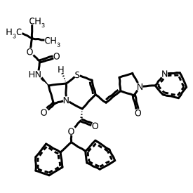 CC(C)(C)OC(=O)N[C@@H]1C(=O)N2[C@@H](C(=O)OC(c3ccccc3)c3ccccc3)C(C=C3CCN(c4ccccn4)C3=O)=CS[C@H]12